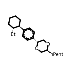 CCCCC[C@H]1CO[C@H](c2ccc([C@@H]3CCCC[C@H]3CC)cc2)CO1